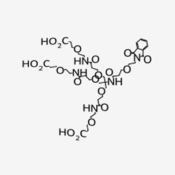 O=C(O)CCOCCNC(=O)CCOCC(COCCC(=O)NCCOCCC(=O)O)(COCCC(=O)NCCOCCC(=O)O)NC(=O)CCOCCN1C(=O)c2ccccc2C1=O